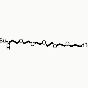 CC(C)(C)CCCOCCOCCOCCOCCOCCNC(C)(C)C